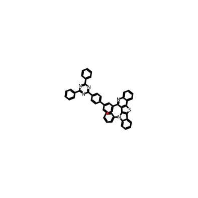 c1ccc(-c2nc(-c3ccccc3)nc(-c3ccc(-c4cccc(-c5nc6ccccc6c6sc7c8ccccc8n(-c8ccccc8)c7c56)c4)cc3)n2)cc1